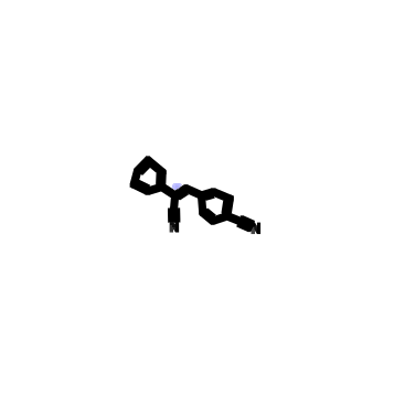 N#C/C(=C\c1ccc(C#N)cc1)c1ccccc1